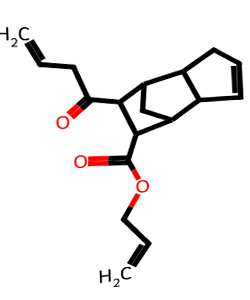 C=CCOC(=O)C1C2CC(C3CC=CC32)C1C(=O)CC=C